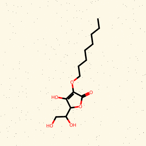 CCCCCCCCOC1=C(O)C(C(O)CO)OC1=O